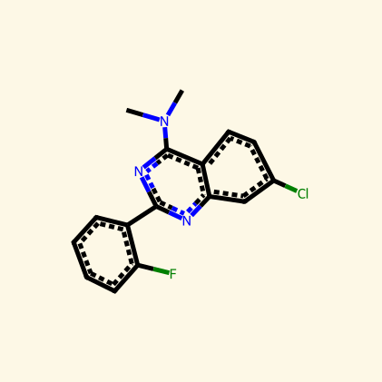 CN(C)c1nc(-c2ccccc2F)nc2cc(Cl)ccc12